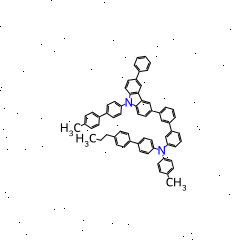 CCCc1ccc(-c2ccc(N(c3ccc(C)cc3)c3cccc(-c4cccc(-c5ccc6c(c5)c5cc(-c7ccccc7)ccc5n6-c5ccc(-c6ccc(C)cc6)cc5)c4)c3)cc2)cc1